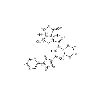 O=C(N[C@H](C(=O)N1C[C@H](Cl)[C@H]2OCC(=O)[C@H]21)C1CCCCC1)c1nnc(-c2ccncc2)s1